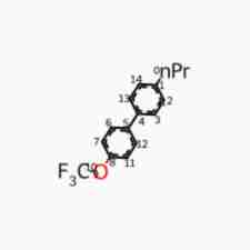 CCCc1[c]cc(-c2ccc(OC(F)(F)F)cc2)cc1